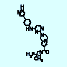 CC1(P)CN(C(=O)c2cc3n(c2)CCN(c2nccc(Nc4ccc(-c5cn[nH]c5)cc4)n2)C3)C1